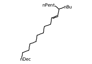 [CH2]CCCCCCCCCCCCCCCCCC=CC(CCCC)CCCC[CH2]